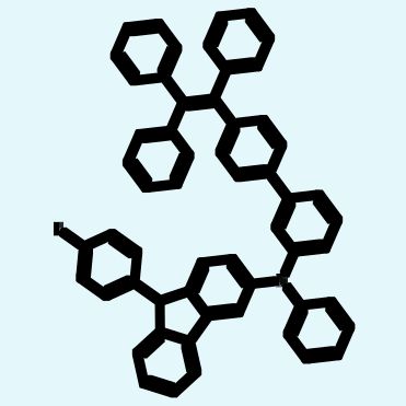 Fc1ccc(C2c3ccccc3-c3cc(N(c4ccccc4)c4cccc(-c5ccc(C(=C(c6ccccc6)c6ccccc6)c6ccccc6)cc5)c4)ccc32)cc1